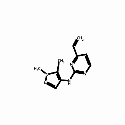 C=Cc1ccnc(Nc2cnn(C)c2C)n1